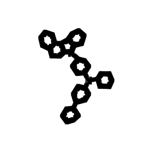 c1ccc(-c2ccc(N(c3ccccc3)c3ccc(-n4c5ccccc5c5c6ccccc6ccc54)cc3)cc2)cc1